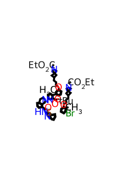 CCOC(=O)CN1CC2(CC(CCCOc3cccc(-c4ccc(N5CCc6cccc(C(=O)Nc7nc8ccccc8s7)c6C5)nc4C(=O)OC(C)(C)C)c3C)C2)C1.CCOC(=O)CN1CC2(CC(CCCOc3cccc(Br)c3C)C2)C1